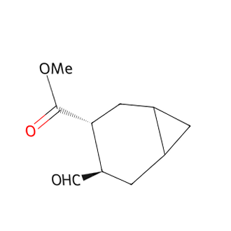 COC(=O)[C@@H]1CC2CC2C[C@H]1C=O